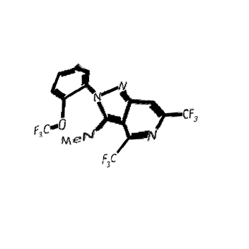 CNc1c2c(C(F)(F)F)nc(C(F)(F)F)cc2nn1-c1ccccc1OC(F)(F)F